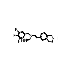 N=CN(/C=C/c1ccc2c(c1)CCNC2)Cc1cc(F)c(F)c(F)c1